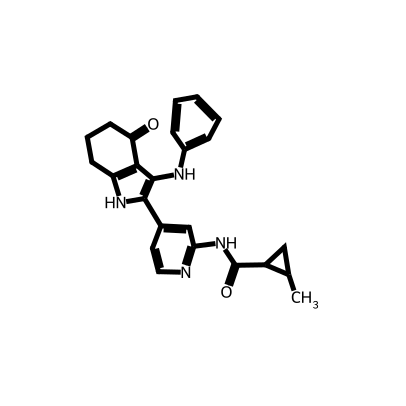 CC1CC1C(=O)Nc1cc(-c2[nH]c3c(c2Nc2ccccc2)C(=O)CCC3)ccn1